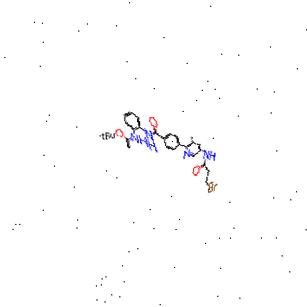 C=C(Nc1ccccc1NC(=O)c1ccc(-c2ncc(NC(=O)CCBr)cc2C)cc1)OC(C)(C)C